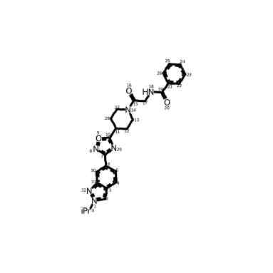 CC(C)n1cc2ccc(-c3noc(C4CCN(C(=O)CNC(=O)c5ccccc5)CC4)n3)cc2n1